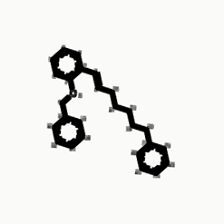 C(=Cc1ccccc1OCc1ccccc1)CCCCCc1ccccc1